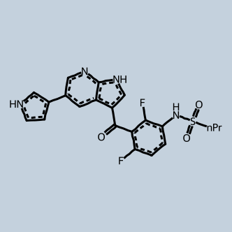 CCCS(=O)(=O)Nc1ccc(F)c(C(=O)c2c[nH]c3ncc(-c4cc[nH]c4)cc23)c1F